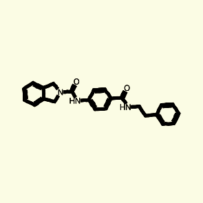 O=C(NCCc1ccccc1)c1ccc(NC(=O)N2Cc3ccccc3C2)cc1